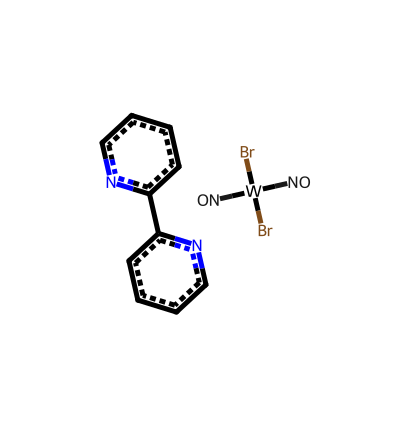 O=[N][W]([Br])([Br])[N]=O.c1ccc(-c2ccccn2)nc1